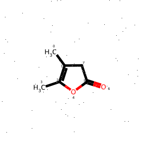 CC1=C(C)OC(=O)C1